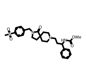 COC(=O)NC(CCN1CCC2(CC1)CCN(Cc1ccc(S(C)(=O)=O)cc1)C2=O)c1ccccc1